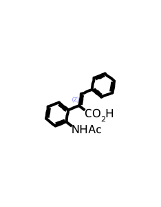 CC(=O)Nc1ccccc1/C(=C/c1ccccc1)C(=O)O